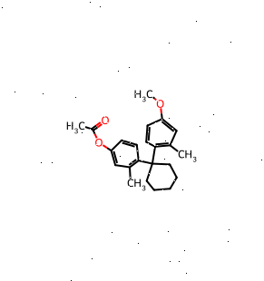 COc1ccc(C2(c3ccc(OC(C)=O)cc3C)CCCCC2)c(C)c1